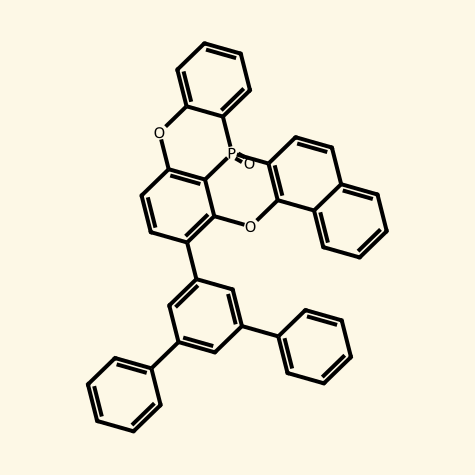 O=P12c3ccccc3Oc3ccc(-c4cc(-c5ccccc5)cc(-c5ccccc5)c4)c(c31)Oc1c2ccc2ccccc12